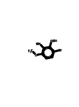 COc1c(Br)ccc(OC(F)(F)F)c1C(C)(C)C